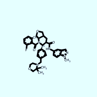 Cc1cccc(F)c1C(=O)N1C2COCC2CC(C(=O)Nc2ccc3c(cnn3C)c2)[C@H]1c1ccc(CN2CCOCC2(C)C)cc1